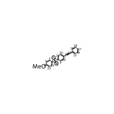 COc1ccc(S(=O)(=O)c2ccc(C#Cc3ccccc3)cc2)cc1